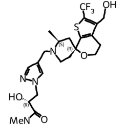 CNC(=O)[C@H](O)Cn1cc(CN2CC[C@]3(C[C@@H]2C)OCCc2c3sc(C(F)(F)F)c2CO)cn1